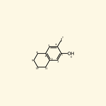 Oc1cc2c(cc1I)CCCC2